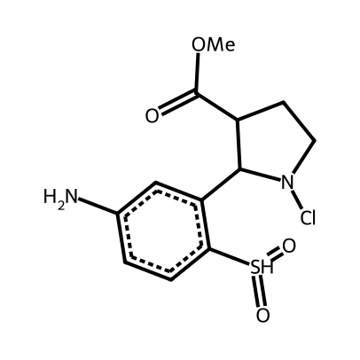 COC(=O)C1CCN(Cl)C1c1cc(N)ccc1[SH](=O)=O